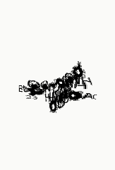 CC(=O)c1ccc(S(=O)(=O)NC(=O)NC2CCCCC2)cc1.CCC1=C(C)CN(C(=O)NCCc2ccc(S(=O)(=O)NC(=O)NC3CCC(C)CC3)cc2)C1=O